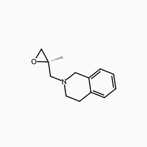 C[C@@]1(CN2CCc3ccccc3C2)CO1